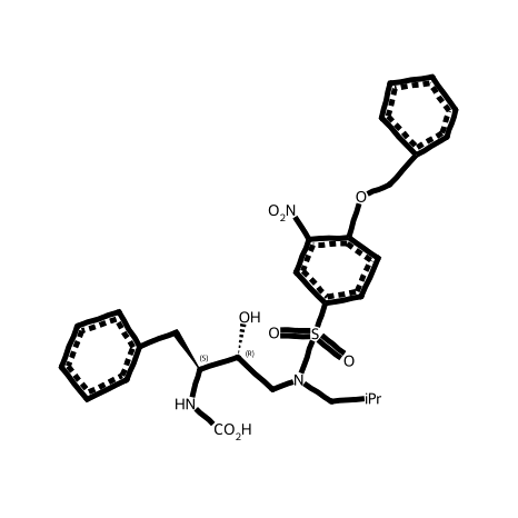 CC(C)CN(C[C@@H](O)[C@H](Cc1ccccc1)NC(=O)O)S(=O)(=O)c1ccc(OCc2ccccc2)c([N+](=O)[O-])c1